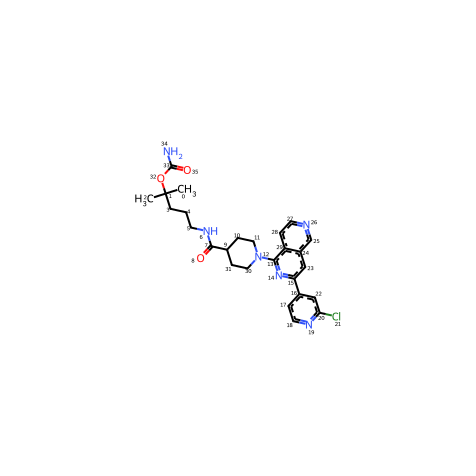 CC(C)(CCCNC(=O)C1CCN(c2nc(-c3ccnc(Cl)c3)cc3cnccc23)CC1)OC(N)=O